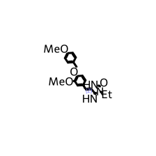 CCN1C(=N)/C(=C/c2ccc(OCc3ccc(OC)cc3)c(OC)c2)NC1=O